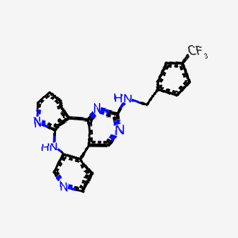 FC(F)(F)c1ccc(CNc2ncc3c(n2)-c2cccnc2Nc2cnccc2-3)cc1